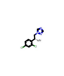 CCC[C@@H](Cn1cncn1)c1ccc(Cl)cc1Cl